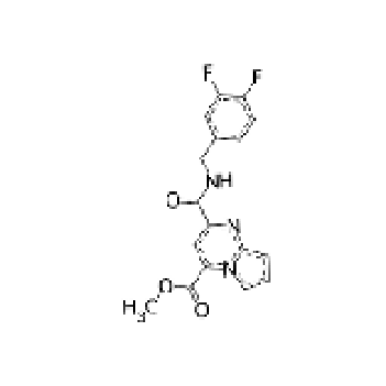 COC(=O)c1cc(C(=O)NCc2ccc(F)c(F)c2)nc2cccn12